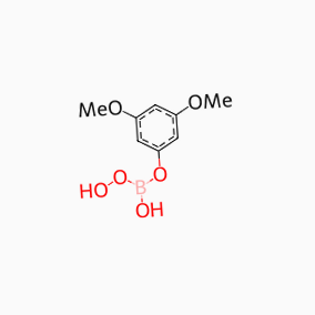 COc1cc(OC)cc(OB(O)OO)c1